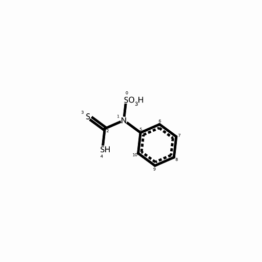 O=S(=O)(O)N(C(=S)S)c1ccccc1